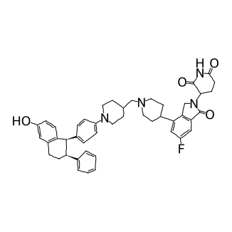 O=C1CCC(N2Cc3c(cc(F)cc3C3CCN(CC4CCN(c5ccc([C@@H]6c7ccc(O)cc7CC[C@@H]6c6ccccc6)cc5)CC4)CC3)C2=O)C(=O)N1